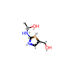 CB(O)Nc1ncc(CO)s1